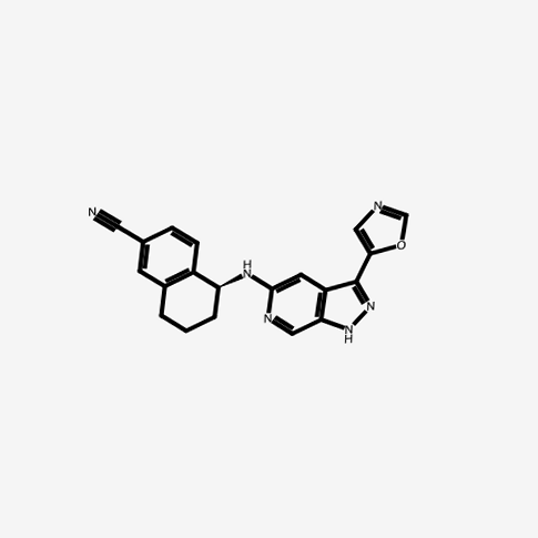 N#Cc1ccc2c(c1)CCC[C@@H]2Nc1cc2c(-c3cnco3)n[nH]c2cn1